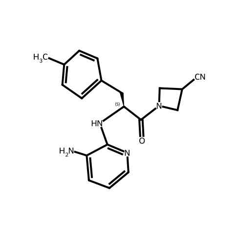 Cc1ccc(C[C@H](Nc2ncccc2N)C(=O)N2CC(C#N)C2)cc1